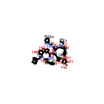 CC[C@H](CC(C)C)C(=O)N[C@H]1C(=O)C[C@@H](CC(=O)NC(=O)Nc2ccc(OC)cc2)C(=O)N[C@H]2C(=O)C[C@H]3C(=O)N[C@H](C(=O)N[C@H](C(=O)CC4C5CC6CC(C5)CC4C6)c4cc(O)cc(O)c4-c4cc3ccc4O)[C@H](O)c3ccc(c(Cl)c3)Oc3cc2cc(c3O[C@@H]2O[C@H](CO)[C@@H](O)[C@H](O)[C@H]2O)Oc2ccc(cc2Cl)[C@H]1O